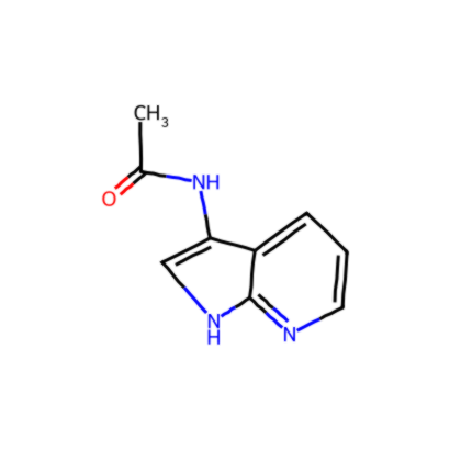 CC(=O)Nc1c[nH]c2ncccc12